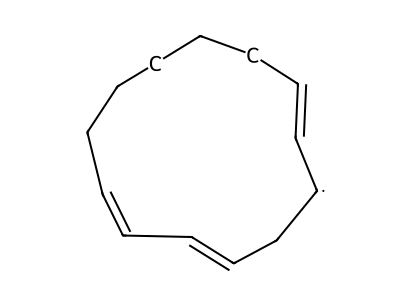 [CH]1/C=C/CCCCC/C=C\C=C\C1